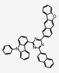 c1ccc(-n2c3ccccc3c3c(-c4nc(-c5ccc6ccccc6c5)nc(-c5ccc6cc7oc8ccccc8c7cc6c5)n4)cccc32)cc1